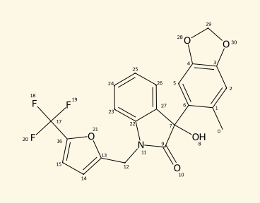 Cc1cc2c(cc1C1(O)C(=O)N(Cc3ccc(C(F)(F)F)o3)c3ccccc31)OCO2